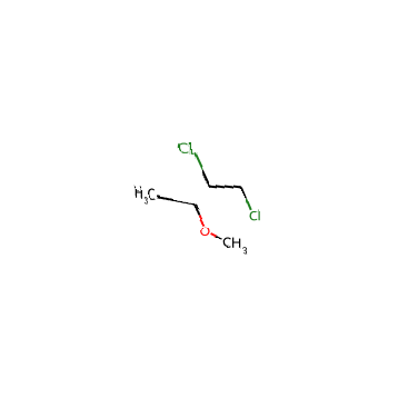 CCOC.ClCCCl